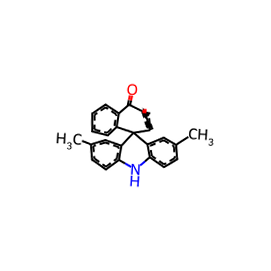 Cc1ccc2c(c1)C1(c3cc(C)ccc3N2)c2ccccc2C(=O)c2ccccc21